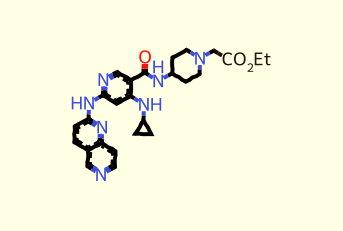 CCOC(=O)CN1CCC(NC(=O)c2cnc(Nc3ccc4cnccc4n3)cc2NC2CC2)CC1